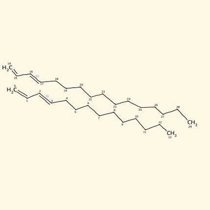 C=C/C=C/CCCCCCCCCC.C=C/C=C/CCCCCCCCCCCC